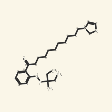 CCC(C)(CC)OOc1ccccc1C(=O)CCCCCCCCCCN1C=COC1